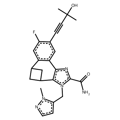 Cn1nccc1Cn1c(C(N)=O)nc2c1C1CC(C1)c1cc(F)c(C#CC(C)(C)O)cc1-2